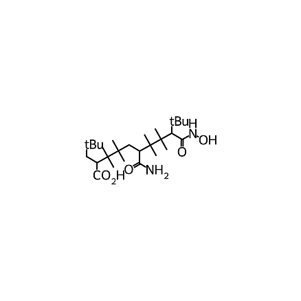 CC(C)(C)CC(C(=O)O)C(C)(C)C(C)(C)CC(C(N)=O)C(C)(C)C(C)(C)C(C(=O)NO)C(C)(C)C